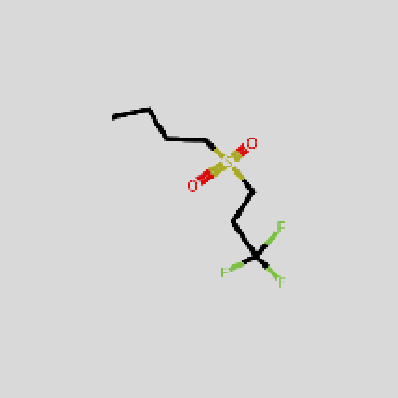 CCCCS(=O)(=O)CCC(F)(F)F